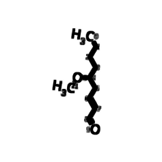 CCCCC(CC=CC=O)OC